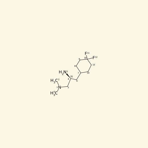 CN(C)C[C@@H](N)CC1CCC(F)(F)CC1